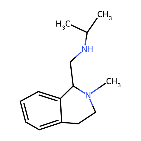 CC(C)NCC1c2ccccc2CCN1C